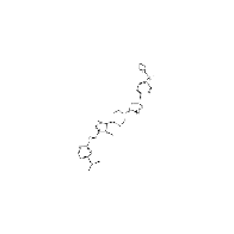 CC(C)c1cccc(OCc2nnc(C3CCC(n4cc(-c5ccc([C@@H](C)N6CCC6)cc5)nn4)CC3)n2C)c1